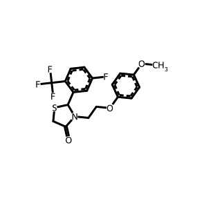 COc1ccc(OCCN2C(=O)CSC2c2cc(F)ccc2C(F)(F)F)cc1